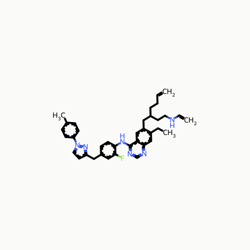 C=CCCC(CCNC=C)Cc1cc2c(Nc3ccc(Cc4ccn(-c5ccc(C)cc5)n4)cc3F)ncnc2cc1CC